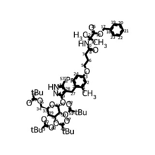 Cc1cc(OCCCC(=O)NC(C)(C)C(=O)OCc2ccccc2)ccc1Cc1c(O[C@@H]2O[C@H](COC(=O)C(C)(C)C)[C@@H](OC(=O)C(C)(C)C)[C@H](OC(=O)C(C)(C)C)[C@H]2OC(=O)C(C)(C)C)n[nH]c1C(C)C